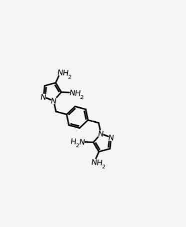 Nc1cnn(Cc2ccc(Cn3ncc(N)c3N)cc2)c1N